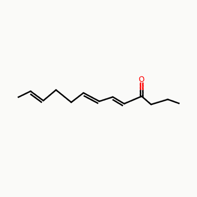 CC=CCCC=CC=CC(=O)CCC